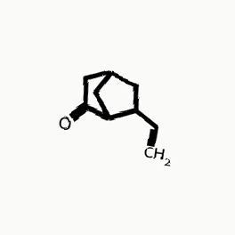 C=CC1CC2CC(=O)C1C2